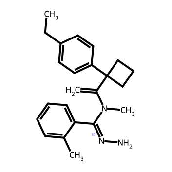 C=C(N(C)/C(=N\N)c1ccccc1C)C1(c2ccc(CC)cc2)CCC1